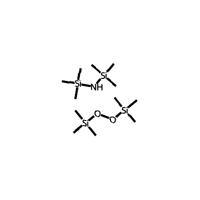 C[Si](C)(C)N[Si](C)(C)C.C[Si](C)(C)OO[Si](C)(C)C